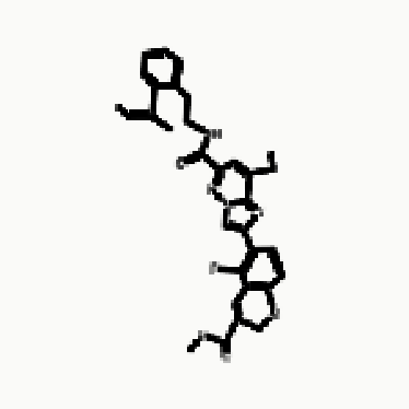 C/C=C(/C)c1ccccc1CCNC(=O)c1cc(CC)c2nc(-c3ccc4c(c3F)C=C(C(=O)OC)CO4)cn2n1